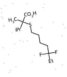 CCC(F)(F)CCCCSC(C)(C(=O)O)C(C)C